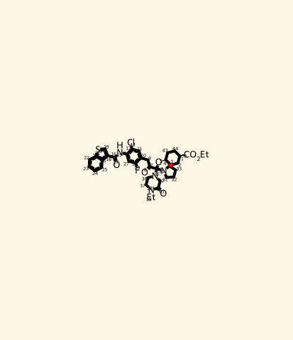 CCOC(=O)[C@H]1CC[C@H](OC(C(=O)Cc2cc(Cl)c(NC(=O)c3csc4ccccc34)cc2F)(N2CCCC2)N2CCN(CC)C(=O)C2)CC1